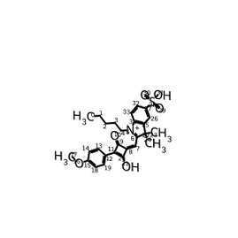 CCCCC[N+]1=C(/C=C2\C(=O)C(c3ccc(OC)cc3)=C2O)C(C)(C)c2cc(S(=O)(=O)O)ccc21